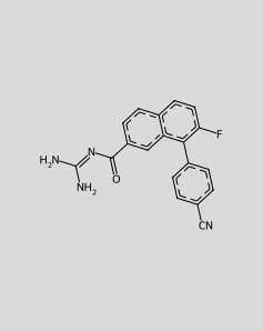 N#Cc1ccc(-c2c(F)ccc3ccc(C(=O)N=C(N)N)cc23)cc1